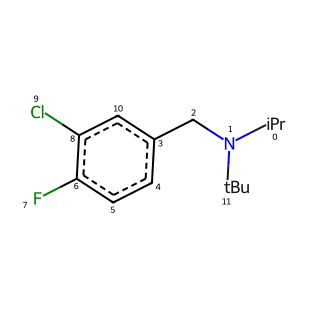 CC(C)N(Cc1ccc(F)c(Cl)c1)C(C)(C)C